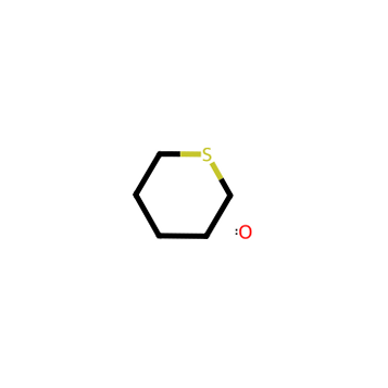 C1CCSCC1.[O]